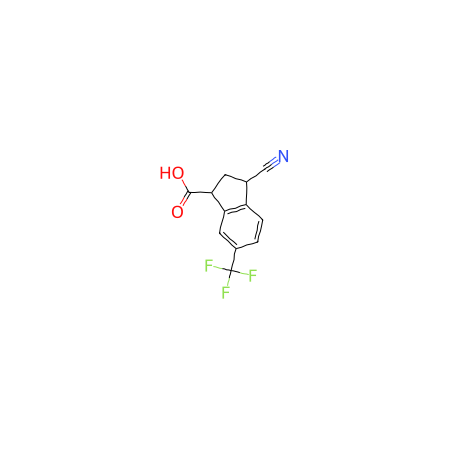 N#CC1CC(C(=O)O)c2cc(C(F)(F)F)ccc21